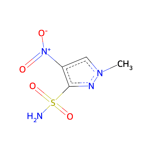 Cn1cc([N+](=O)[O-])c(S(N)(=O)=O)n1